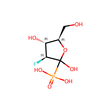 O=P(O)(O)C1(O)O[C@H](CO)[C@@H](O)[C@@H]1F